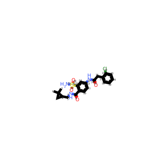 CC1(C)CC1CNC(=O)c1ccc(NC(=O)Cc2ccccc2Cl)cc1S(N)(=O)=O